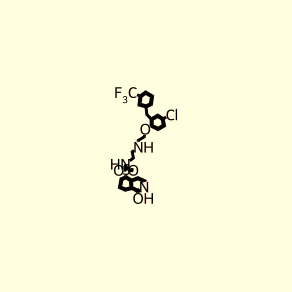 O=S(=O)(NCCNCCOc1ccc(Cl)cc1Cc1cccc(C(F)(F)F)c1)c1cccc2c(O)nccc12